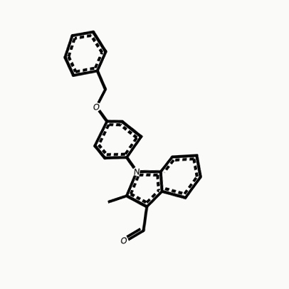 Cc1c(C=O)c2ccccc2n1-c1ccc(OCc2ccccc2)cc1